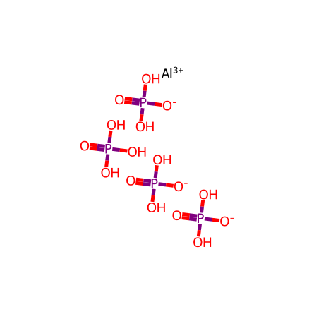 O=P(O)(O)O.O=P([O-])(O)O.O=P([O-])(O)O.O=P([O-])(O)O.[Al+3]